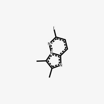 Cc1nc2ccc(I)nn2c1C